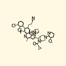 COc1cccnc1N1CC2CC(C1)N(C(=O)C1CC1)C2c1cc2c(C)nc3c(F)c(-c4cccc(Cl)c4Cl)c(CCC#N)cc3c2n1C1C2CNC1C2